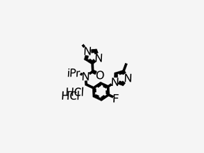 Cc1cn(-c2cc(CN(C(=O)c3cn(C)cn3)C(C)C)ccc2F)cn1.Cl.Cl